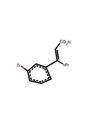 CCCC(=CC(=O)O)c1cccc(Br)c1